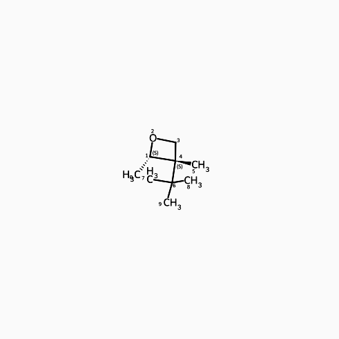 C[C@@H]1OC[C@]1(C)C(C)(C)C